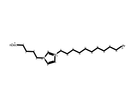 CCCCCCCCCCCCCCn1cc[n+](CCCCCCCCCCC(C)C)c1